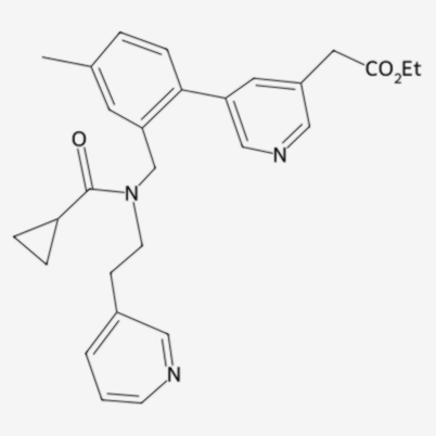 CCOC(=O)Cc1cncc(-c2ccc(C)cc2CN(CCc2cccnc2)C(=O)C2CC2)c1